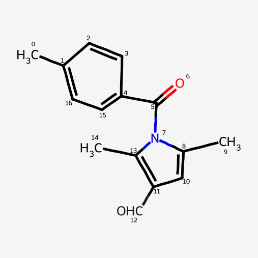 Cc1ccc(C(=O)n2c(C)cc(C=O)c2C)cc1